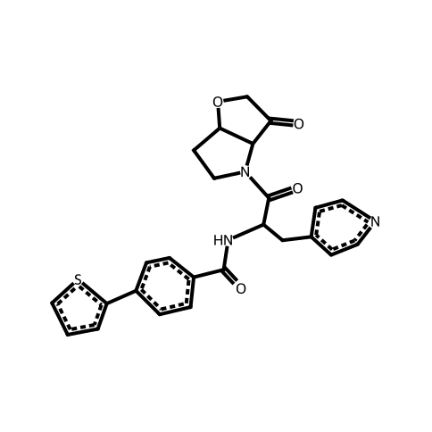 O=C(NC(Cc1ccncc1)C(=O)N1CCC2OCC(=O)C21)c1ccc(-c2cccs2)cc1